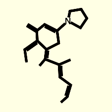 C=C1C=C(N2CCCC2)CC(=C(C)\C(C)=C\C=C/C)/C1=C\C